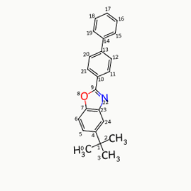 CC(C)(C)c1ccc2oc(-c3ccc(-c4ccccc4)cc3)nc2c1